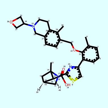 Cc1cccc(-c2csc(N3C[C@H]4CC3(C)[C@H]4C(=O)O)n2)c1OCc1ccc2c(c1C)CCN(C1COC1)C2